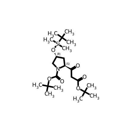 CC(C)(C)OC(=O)CC(=O)[C@@H]1C[C@@H](O[Si](C)(C)C(C)(C)C)CN1C(=O)OC(C)(C)C